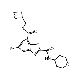 O=C(NC1CCOCC1)c1nc2cc(F)cc(C(=O)NCC3CCO3)c2o1